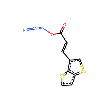 [N-]=[N+]=NOC(=O)/C=C/c1csc2ccsc12